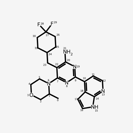 CC1COCCN1c1nc(-c2ccnc3[nH]ccc23)nc(N)c1CC1CCC(F)(F)CC1